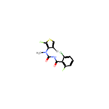 CCc1csc(F)c1N(C)C(=O)NC(=O)c1c(F)cccc1Cl